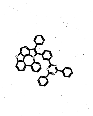 c1ccc(-c2nc(-c3ccccc3)nc(-c3cccc(-c4c(-c5ccccc5)c5ccc6oc7cccc8c9ccccc9n4c5c6c78)c3)n2)cc1